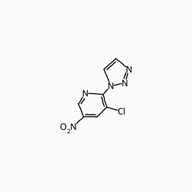 O=[N+]([O-])c1cnc(-n2ccnn2)c(Cl)c1